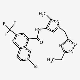 CCc1noc(Cn2cc(NC(=O)c3cc(C(F)(F)F)nc4ccc(Br)cc34)c(C)n2)n1